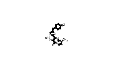 CCCCOc1c(-c2ncc(Cc3ccc(Cl)cc3)s2)nc2n(C)ccn2c1=O